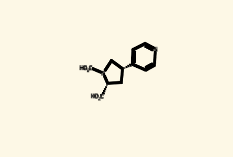 O=C(O)[C@H]1C[C@@H](c2ccncc2)CN1C(=O)O